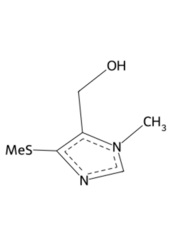 CSc1ncn(C)c1CO